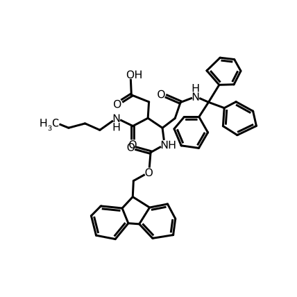 CCCCNC(=O)C(CC(=O)O)C(CC(=O)NC(c1ccccc1)(c1ccccc1)c1ccccc1)NC(=O)OCC1c2ccccc2-c2ccccc21